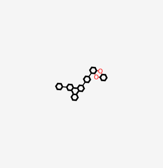 c1ccc(-c2ccc3c(c2)c2ccccc2c2ccc(-c4ccc(-c5cccc6c5Oc5ccccc5O6)cc4)cc23)cc1